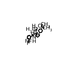 COC[C@@H]1C[C@H](N(C)C(C)C)CC[C@@H]1N1CC[C@H](NC(=O)c2cccc(C(F)(F)F)c2)C1=O